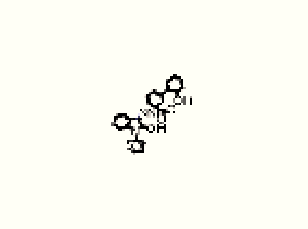 O=C1/C(=N\NC2(C(=O)O)C=CC=C(c3ccccc3O)C2)c2ccccc2N1c1cccs1